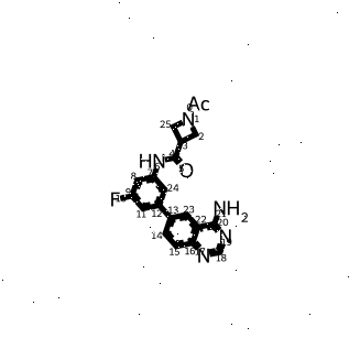 CC(=O)N1CC(C(=O)Nc2cc(F)cc(-c3ccc4ncnc(N)c4c3)c2)C1